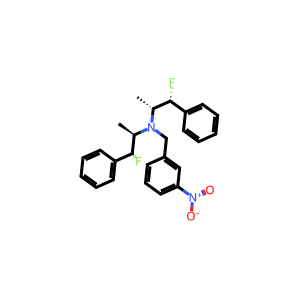 C[C@H]([C@H](F)c1ccccc1)N(Cc1cccc([N+](=O)[O-])c1)[C@H](C)[C@H](F)c1ccccc1